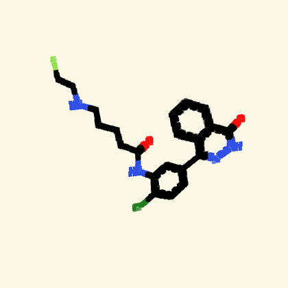 O=C(CCCCNCCF)Nc1cc(-c2n[nH]c(=O)c3ccccc23)ccc1Cl